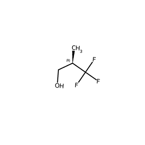 C[C@H](CO)C(F)(F)F